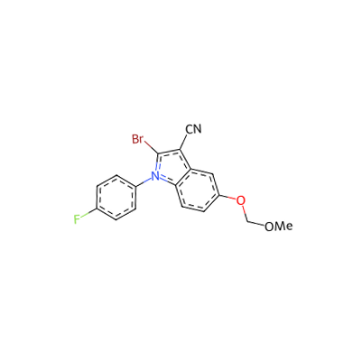 COCOc1ccc2c(c1)c(C#N)c(Br)n2-c1ccc(F)cc1